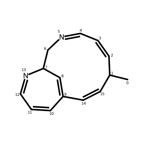 CC1/C=C\C=N/CC2C=C(C=CC=N2)/C=C\1